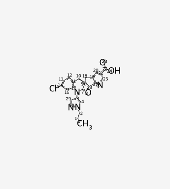 CCCn1cc(N2C(=O)[C@]3(Cc4ccc(Cl)cc42)Cc2cc(C(=O)O)cnc2C3)cn1